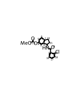 COC(=O)Oc1ccc2c(c1)C(NC(=O)c1ccccc1Cl)CC2